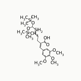 COc1cc(C=C(CCC[SiH2]C(O[Si](C)(C)C)O[Si](C)(C)C)C(=O)O)cc(OC)c1OC